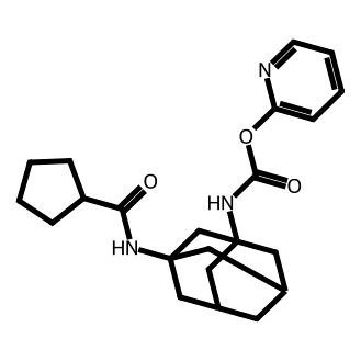 O=C(NC12CC3CC(C1)CC(NC(=O)C1CCCC1)(C3)C2)Oc1ccccn1